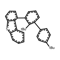 CC(C)(C)c1ccc(-c2cccc(-c3cccc4sc5ccccc5c34)c2C(C)(C)C)cc1